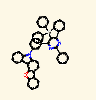 c1ccc(-c2nc(-c3cccc(-n4c5ccccc5c5c6oc7ccccc7c6ccc54)c3)c3c(n2)-c2ccccc2[Si]3(c2ccccc2)c2ccccc2)cc1